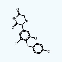 O=C1CNN(c2cc(Cl)c(Sc3ccc(Cl)cc3)c(Cl)c2)C(=O)N1